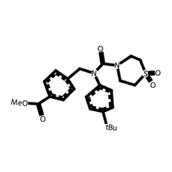 COC(=O)c1ccc(CN(C(=O)N2CCS(=O)(=O)CC2)c2ccc(C(C)(C)C)cc2)cc1